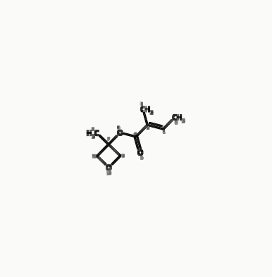 C/C=C(\C)C(=O)OC1(C)COC1